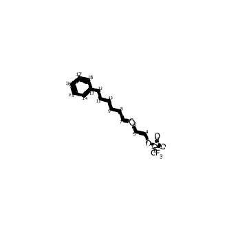 O=S(=O)(OCCOCCCCCCc1ccccc1)C(F)(F)F